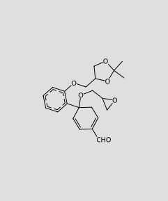 CC1(C)OCC(COc2ccccc2C2(OCC3CO3)C=CC(C=O)=CC2)O1